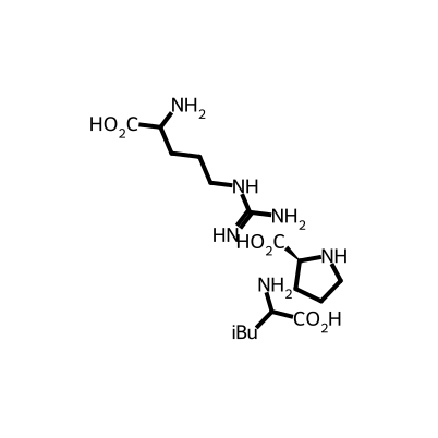 CCC(C)C(N)C(=O)O.N=C(N)NCCCC(N)C(=O)O.O=C(O)[C@@H]1CCCN1